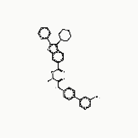 C[C@@H](NC(=O)c1ccc2c(C3CCCCC3)n(-c3ccccn3)nc2c1)C(=O)Nc1ccc(-c2cncc(N)c2)cc1